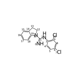 N=C(Nc1ccc(Cl)cc1Cl)N1CCc2ccccc21